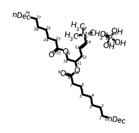 CCCCCCCCCCCCCCCCCC(=O)OC(CC=C[N+](C)(C)C)COC(=O)CCCCCCCCCCCCCCC.O=P(O)(O)O